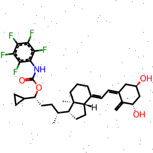 C=C1/C(=C\C=C2/CCC[C@]3(C)[C@@H]([C@H](C)CC[C@@H](OC(=O)Nc4c(F)c(F)c(F)c(F)c4F)C4CC4)CC[C@@H]23)C[C@@H](O)C[C@@H]1O